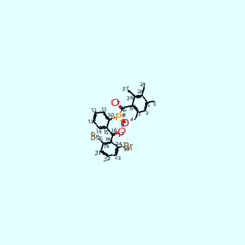 Cc1cc(C)c(C(=O)[P](=O)c2ccccc2C(=O)c2c(Br)cccc2Br)c(C)c1C